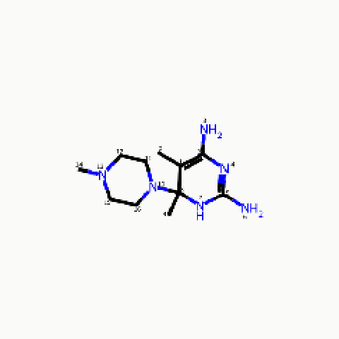 CC1=C(N)N=C(N)NC1(C)N1CCN(C)CC1